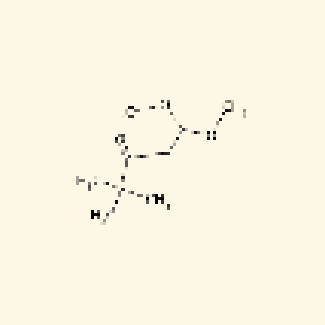 COC(CC(=O)C(C)(C)C)OC